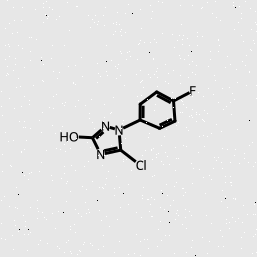 Oc1nc(Cl)n(-c2ccc(F)cc2)n1